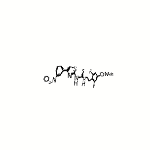 COc1cc(F)c(CCNC(=S)Nc2nc(-c3cccc([N+](=O)[O-])c3)cs2)c(F)c1